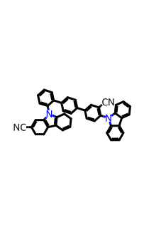 N#CC1=Cc2c(c3c(n2-c2ccccc2-c2ccc(-c4ccc(-n5c6ccccc6c6ccccc65)c(C#N)c4)cc2)CCC=C3)CC1